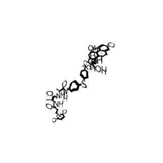 C[C@H](NC(=O)CCN1C(=O)C=CC1=O)C(=O)N[C@@H](C)C(=O)Nc1ccc(Sc2ccc([C@@]3(C)O[C@@H]4C[C@H]5[C@@H]6CCC7=CC(=O)C=C[C@]7(C)[C@H]6[C@@H](O)C[C@]5(C)[C@]4(C(=O)CO)O3)cc2)cc1